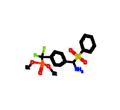 CCOP(=O)(OCC)C(F)(F)c1ccc(C(N)S(=O)(=O)c2ccccc2)cc1